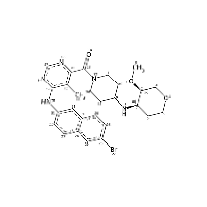 CO[C@H]1COCC[C@H]1NC1CCN(C(=O)c2ncnc(Nc3ccc4cc(Br)ccc4c3)c2C)CC1